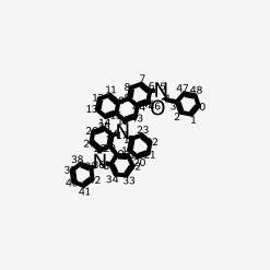 c1ccc(-c2nc3ccc4c5ccccc5c(N(c5ccccc5)c5cccc6c5c5ccccc5n6-c5ccccc5)cc4c3o2)cc1